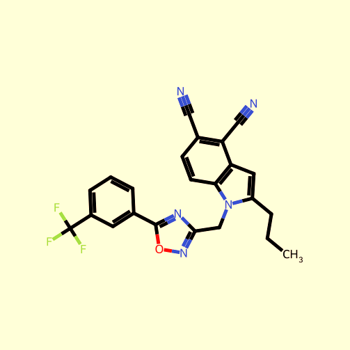 CCCc1cc2c(C#N)c(C#N)ccc2n1Cc1noc(-c2cccc(C(F)(F)F)c2)n1